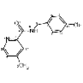 Cc1ccnc(C(=O)NCc2ccc(Cl)cc2)c1